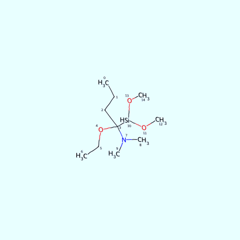 CCCC(OCC)(N(C)C)[SiH](OC)OC